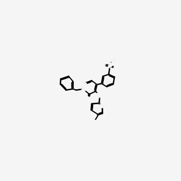 CS(=O)(=O)c1cccc(-c2cnn(Cc3ccccc3)c(=O)c2Oc2ccc(Cl)cn2)c1